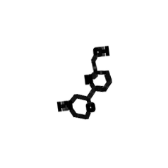 OCc1cccc(C2CNCCO2)n1